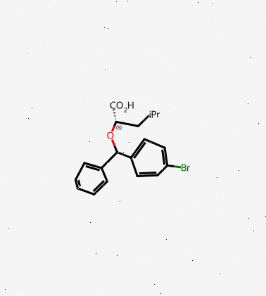 CC(C)C[C@H](OC(c1ccccc1)c1ccc(Br)cc1)C(=O)O